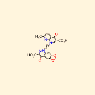 CCn1cc(C(=O)O)c(=O)c2ccc(C)nc21.CCn1nc(C(=O)O)c(=O)c2cc3c(cc21)OCO3